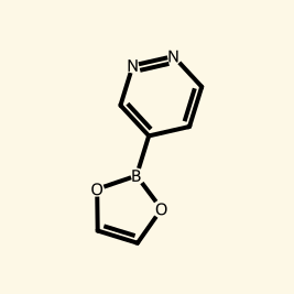 C1=COB(c2ccnnc2)O1